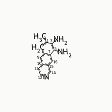 C=C(C)/C(N)=C(/N)c1ccc2ccncc2c1